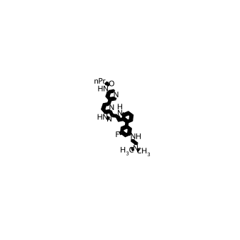 CCCC(=O)Nc1cncc(-c2ccc3[nH]nc(-c4cc5c(-c6cc(F)cc(NCCN(C)C)c6)cccc5[nH]4)c3n2)c1